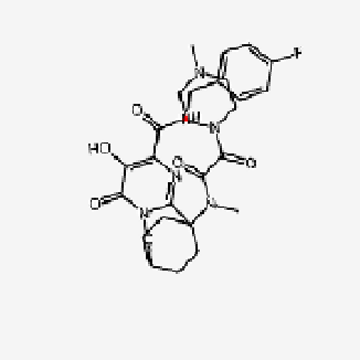 CN1CCN(C(=O)C(=O)N(C)C23CCC(CC2)Cn2c3nc(C(=O)NCc3ccc(F)cc3)c(O)c2=O)CC1